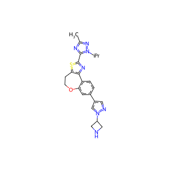 Cc1nc(-c2nc3c(s2)CCOc2cc(-c4cnn(C5CNC5)c4)ccc2-3)n(C(C)C)n1